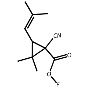 CC(C)=CC1C(C)(C)C1(C#N)C(=O)OF